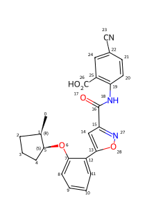 C[C@@H]1CCC[C@@H]1Oc1ccccc1-c1cc(C(=O)Nc2ccc(C#N)cc2C(=O)O)no1